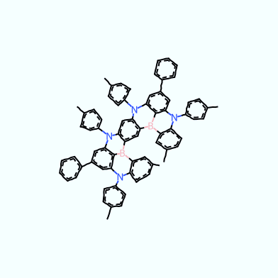 Cc1ccc(N2c3ccc(C)cc3B3c4cc5c(cc4N(c4ccc(C)cc4)c4cc(-c6ccccc6)cc2c43)N(c2ccc(C)cc2)c2cc(-c3ccccc3)cc3c2B5c2cc(C)ccc2N3c2ccc(C)cc2)cc1